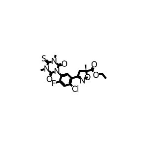 CCOC(=O)[C@@]1(C)CC(c2cc(-n3c(=O)n(C)c(=S)n(C)c3=O)c(F)cc2Cl)=NO1